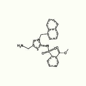 COC(=O)c1ccccc1S(=O)(=O)N=c1sc(CN)cn1Cc1cccc2ccccc12